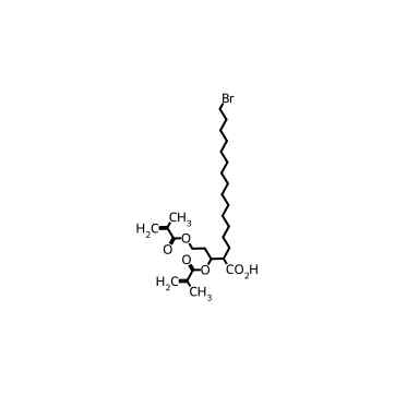 C=C(C)C(=O)OCCC(OC(=O)C(=C)C)C(CCCCCCCCCCCCCCBr)C(=O)O